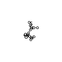 CC(C)(C)OC(=O)n1c2ccc(-c3ccc(N(c4ccc(-c5ccccc5)cc4)c4ccc5c(c4)sc4ccccc45)cc3)cc2c2cc3c(cc21)c1ccccc1n3-c1ccccc1